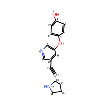 Oc1ccc(Oc2cncc(C#C[C@@H]3CCCN3)c2)cc1